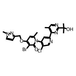 Cc1cnc(C(C)(C)O)nc1-c1cc(-n2c(C)cc(OCc3ccn(C)n3)c(Br)c2=O)c(Cl)cn1